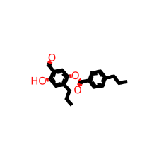 CCCc1ccc(C(=O)Oc2cc(C=O)c(O)cc2CCC)cc1